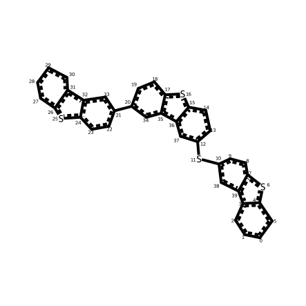 c1ccc2c(c1)sc1ccc(Sc3ccc4sc5ccc(-c6ccc7sc8ccccc8c7c6)cc5c4c3)cc12